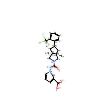 O=C(O)C1=CC=CN(NC(=O)N2C[C@H]3C[C@@H](c4ccccc4C(F)(F)F)C[C@H]3C2)C1